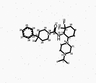 CC(C)N1CCN(C2CCCC(F)(F)[C@@H]2NC(=O)N2CCC(C)(c3ccccc3)CC2)CC1